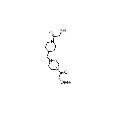 COCC(=O)N1CCN(CC2CCN(C(=O)CS)CC2)CC1